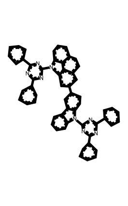 c1ccc(-c2nc(-c3ccccc3)nc(-n3c4ccccc4c4cc(-c5cc6ccc7cccc8c7c6c(c5)n8-c5nc(-c6ccccc6)nc(-c6ccccc6)n5)ccc43)n2)cc1